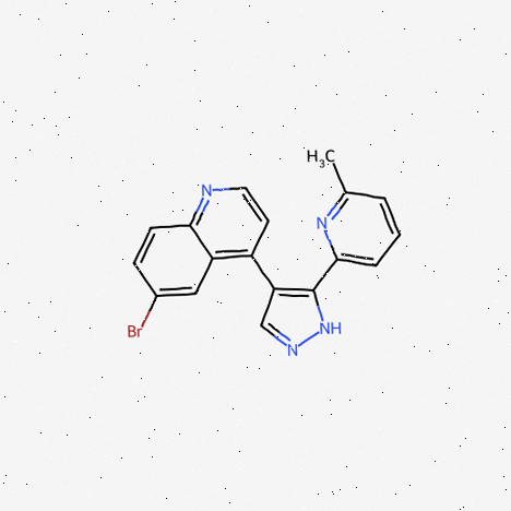 Cc1cccc(-c2[nH]ncc2-c2ccnc3ccc(Br)cc23)n1